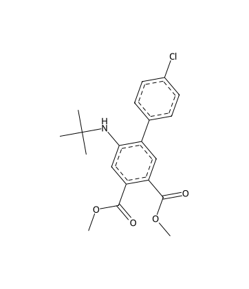 COC(=O)c1cc(NC(C)(C)C)c(-c2ccc(Cl)cc2)cc1C(=O)OC